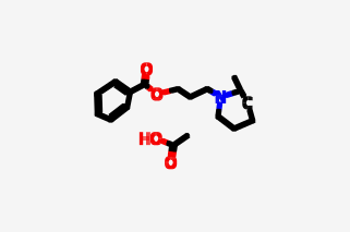 CC(=O)O.CC1CCCCN1CCCOC(=O)c1ccccc1